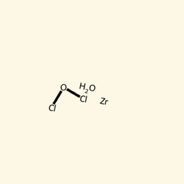 ClOCl.O.[Zr]